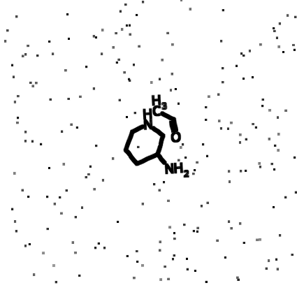 CC=O.NC1CCCNC1